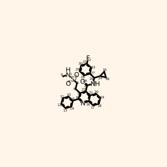 CNS(=O)(=O)CCc1c(-c2ccccc2)nc2ccccc2c1C(=O)NC(c1cccc(F)c1)C1CC1